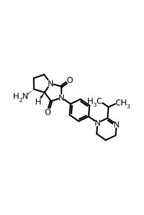 CC(C)C1=NCCCN1c1ccc(N2C(=O)[C@@H]3[C@H](N)CCN3C2=O)cc1